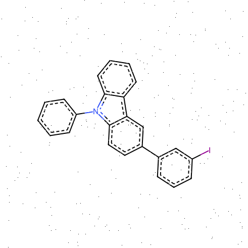 Ic1cccc(-c2ccc3c(c2)c2ccccc2n3-c2ccccc2)c1